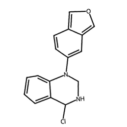 ClC1NCN(c2ccc3cocc3c2)c2ccccc21